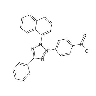 O=[N+]([O-])c1ccc(-[n+]2nc(-c3ccccc3)nn2-c2cccc3ccccc23)cc1